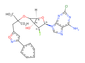 Nc1nc(Cl)nc2c1ncn2[C@@H]1O[C@@H]2C(OC(Cc3cc(-c4ccccc4)no3)(C(=O)O)C(=O)O)[C@]2(O)[C@@H]1F